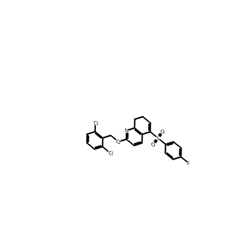 O=S(=O)(C1=CCCc2nc(OCc3c(Cl)cccc3Cl)ccc21)c1ccc(F)cc1